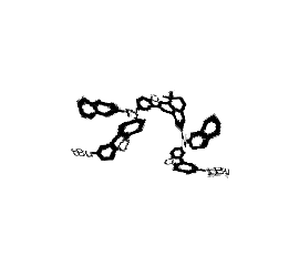 CC(C)(C)c1ccc2oc3ccc(N(c4ccc5ccccc5c4)c4cc5c6c(c7oc8ccc(N(c9ccc%10ccccc%10c9)c9ccc%10oc%11ccc(C(C)(C)C)cc%11c%10c9)cc8c7cc6c4)C(C)(C)CC5)cc3c2c1